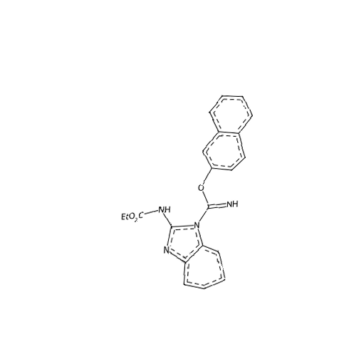 CCOC(=O)Nc1nc2ccccc2n1C(=N)Oc1ccc2ccccc2c1